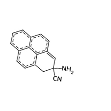 N#CC1(N)C=c2ccc3cccc4ccc(c2c43)C1